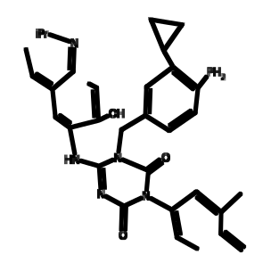 C=C/C(C)=C\C(=C/C)n1c(=O)nc(NC(=C/C(/C=N\C(C)C)=C/C)/C(O)=C\C)n(Cc2ccc(P)c(C3CC3)c2)c1=O